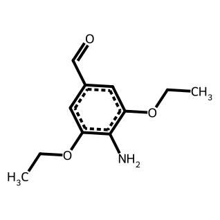 CCOc1cc(C=O)cc(OCC)c1N